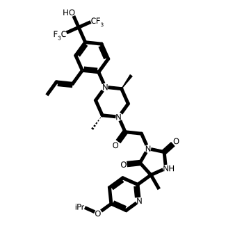 CC=Cc1cc(C(O)(C(F)(F)F)C(F)(F)F)ccc1N1C[C@@H](C)N(C(=O)CN2C(=O)NC(C)(c3ccc(OC(C)C)cn3)C2=O)C[C@@H]1C